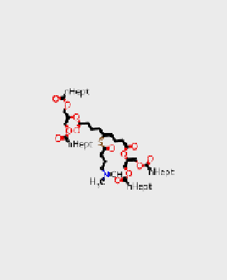 CCCCCCCC(=O)OCC(COC(=O)CCCCCCC)OC(=O)CCCC(CCCC(=O)OC(COC(=O)CCCCCCC)COC(=O)CCCCCCC)SC(=O)CCCN(C)C